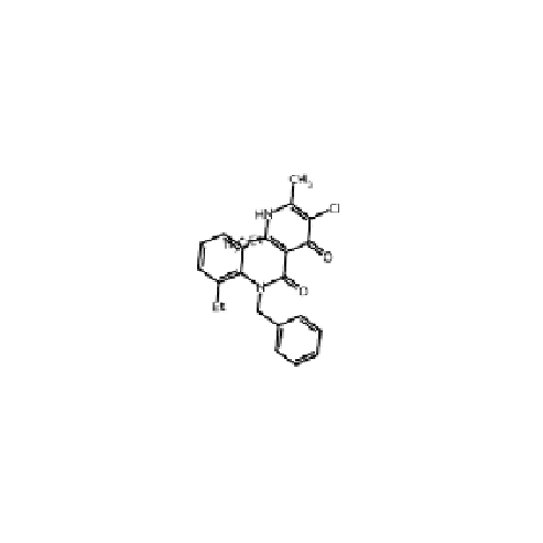 CCc1cccc(CC)c1N(Cc1ccccc1)C(=O)c1c(C)[nH]c(C)c(Cl)c1=O